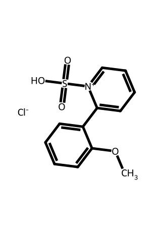 COc1ccccc1-c1cccc[n+]1S(=O)(=O)O.[Cl-]